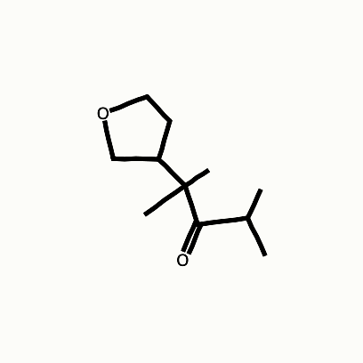 CC(C)C(=O)C(C)(C)C1CCOC1